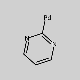 [Pd][c]1ncccn1